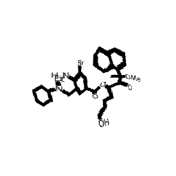 CCN(Cc1cc(C(=O)OC(CCCCO)C(=O)C(C)(OC)c2cccc3ccccc23)cc(Br)c1N)C1CCCCC1